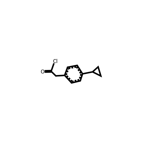 O=C(Cl)Cc1ccc(C2CC2)cc1